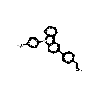 C=Cc1ccc(-c2ccc3c(c2)c2ccccc2n3-c2ccc(C)cc2)cc1